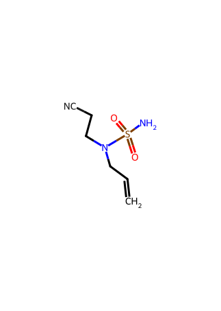 C=CCN(CCC#N)S(N)(=O)=O